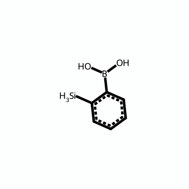 OB(O)c1ccccc1[SiH3]